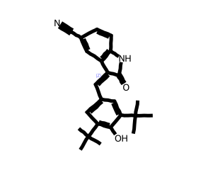 CC(C)(C)c1cc(/C=C2\C(=O)Nc3ccc(C#N)cc32)cc(C(C)(C)C)c1O